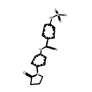 CC(C)S(=O)(=O)Nc1ccc(C(=O)Nc2ccc(N3CCCC3=O)cc2)cc1